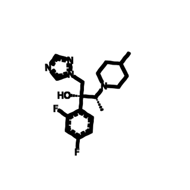 CC1CCN([C@H](C)[C@](O)(Cn2cncn2)c2ccc(F)cc2F)CC1